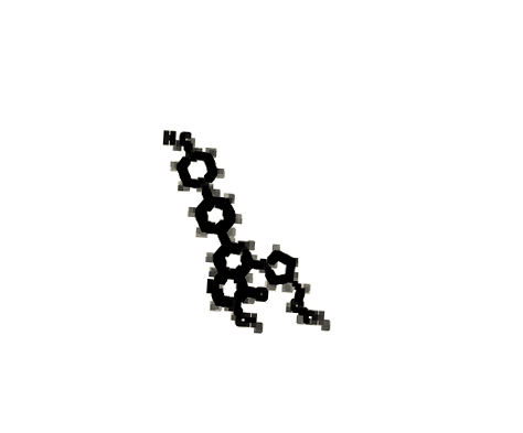 COC[C@H]1CCN(c2nc(-c3ccc(N4CCN(C)CC4)cc3)cc3ncn(C)c(=O)c23)C1